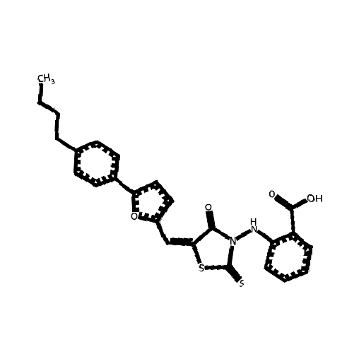 CCCCc1ccc(-c2ccc(/C=C3/SC(=S)N(Nc4ccccc4C(=O)O)C3=O)o2)cc1